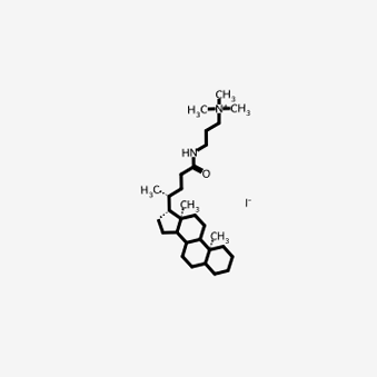 C[C@H](CCC(=O)NCCC[N+](C)(C)C)[C@H]1CCC2C3CCC4CCCC[C@]4(C)C3CC[C@@]21C.[I-]